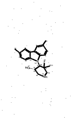 Cc1ccc2c(c1)c1cc(C)ccc1n2[C@@H]1[C@@H](O)CNCC1(F)F